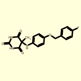 CC1(Nc2ccc(OCc3ccc(F)cc3)cc2)C(=O)NC(=O)NC1=O